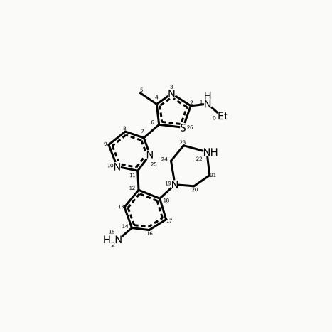 CCNc1nc(C)c(-c2ccnc(-c3cc(N)ccc3N3CCNCC3)n2)s1